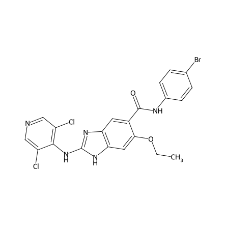 CCOc1cc2[nH]c(Nc3c(Cl)cncc3Cl)nc2cc1C(=O)Nc1ccc(Br)cc1